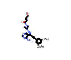 COc1cc(C#Cc2nn(C3CN(C(=O)/C=C/CBr)C3)c3ncnc(N)c23)cc(OC)c1